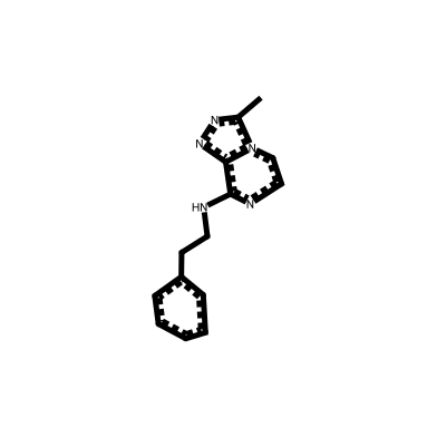 Cc1nnc2c(NCCc3ccccc3)nccn12